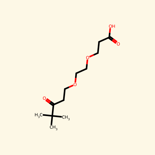 CC(C)(C)C(=O)CCOCCOCCC(=O)O